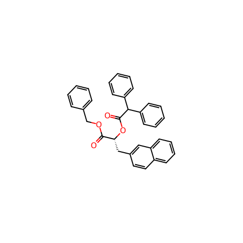 O=C(O[C@H](Cc1ccc2ccccc2c1)C(=O)OCc1ccccc1)C(c1ccccc1)c1ccccc1